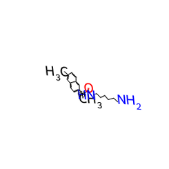 Cc1ccc2cc([C@H](C)C(=O)NCCCCCCN)ccc2c1